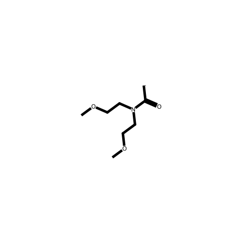 [CH2]C(=O)N(CCOC)CCOC